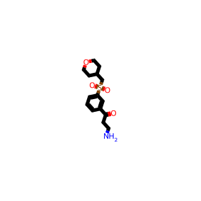 NCCC(=O)c1cccc(S(=O)(=O)CC2CCOCC2)c1